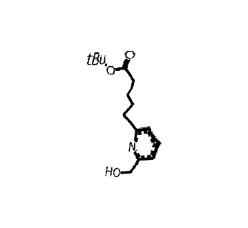 CC(C)(C)OC(=O)CCCCc1cccc(CO)n1